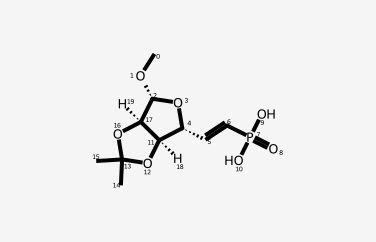 CO[C@@H]1O[C@H](/C=C/P(=O)(O)O)[C@H]2OC(C)(C)O[C@@H]12